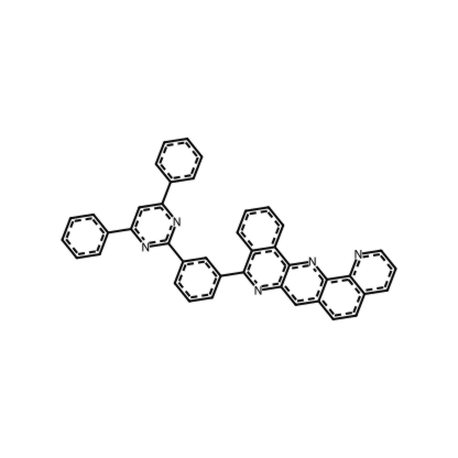 c1ccc(-c2cc(-c3ccccc3)nc(-c3cccc(-c4nc5cc6ccc7cccnc7c6nc5c5ccccc45)c3)n2)cc1